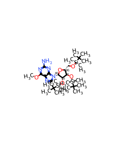 COc1nc(N)nc2c1ncn2[C@@H]1O[C@H](CO[Si](C)(C)C(C)(C)C)[C@@H](O[Si](C)(C)C(C)(C)C)[C@@H]1O[Si](C)(C)C(C)(C)C